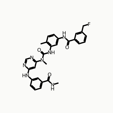 CNC(=O)c1cccc(Nc2cc(N(C)C(=O)Nc3cc(NC(=O)c4cccc(CF)c4)ccc3C)ncn2)c1